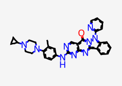 Cc1cc(Nc2ncc3c(=O)n4c(nc3n2)c2ccccc2n4-c2ccccn2)ccc1N1CCN(C2CC2)CC1